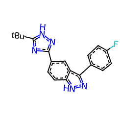 CC(C)(C)c1nc(-c2ccc3[nH]nc(-c4ccc(F)cc4)c3c2)n[nH]1